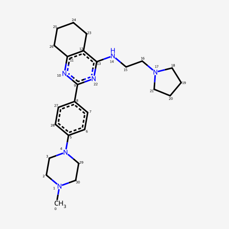 CN1CCN(c2ccc(-c3nc4c(c(NCCN5CCCC5)n3)CCCC4)cc2)CC1